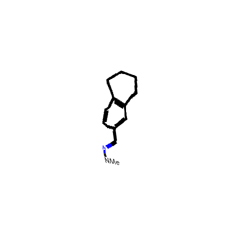 CNN=Cc1ccc2c(c1)CCCC2